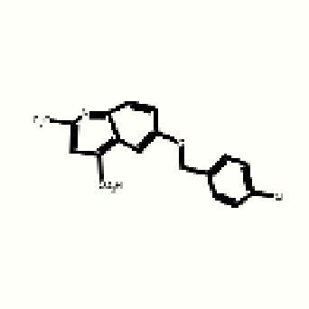 O=C(O)c1cc(C(=O)O)c2cc(OCc3ccc(Cl)cc3)ccc2n1